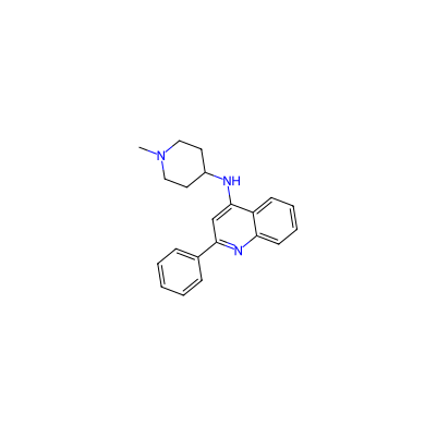 CN1CCC(Nc2cc(-c3ccccc3)nc3ccccc23)CC1